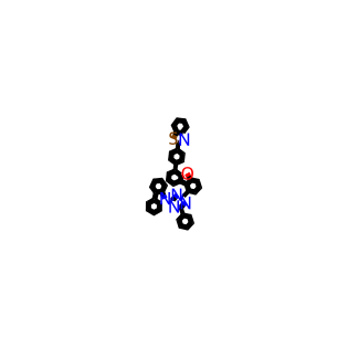 c1ccc(-c2nc(-c3cccc4oc5c(-c6ccc(-c7nc8ccccc8s7)cc6)cccc5c34)nc(-n3c4ccccc4c4ccccc43)n2)cc1